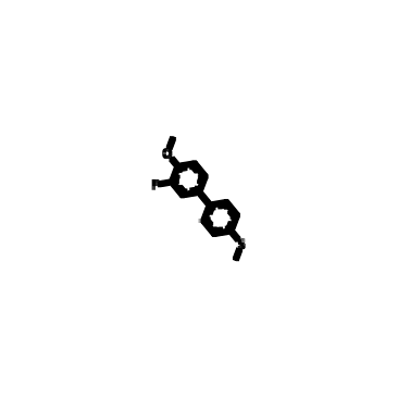 COc1ccc(-c2[c]cc(SC)cc2)cc1F